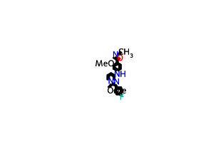 COCc1c(-c2ccc(F)cc2)nc2c(Nc3ccc(-c4cnc(C)o4)c(OC)c3)cccn12